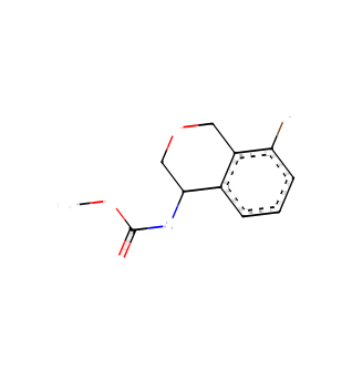 CC(C)(C)OC(=O)NC1COCc2c(Br)cccc21